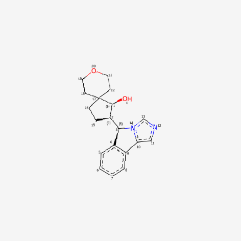 O[C@H]1[C@@H]([C@@H]2c3ccccc3-c3cncn32)CCC12CCOCC2